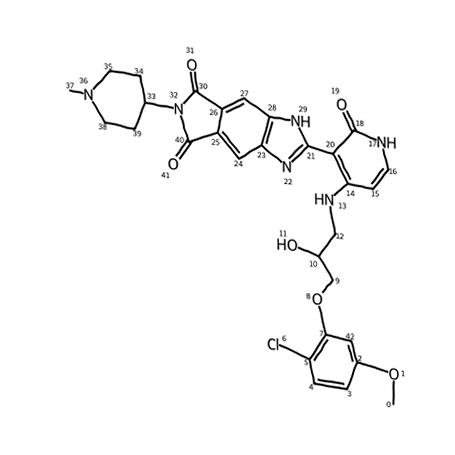 COc1ccc(Cl)c(OCC(O)CNc2cc[nH]c(=O)c2-c2nc3cc4c(cc3[nH]2)C(=O)N(C2CCN(C)CC2)C4=O)c1